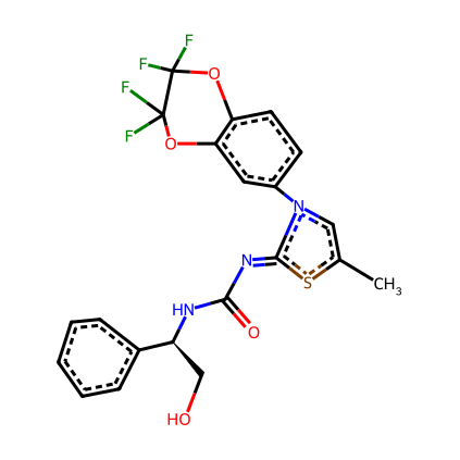 Cc1cn(-c2ccc3c(c2)OC(F)(F)C(F)(F)O3)/c(=N/C(=O)N[C@@H](CO)c2ccccc2)s1